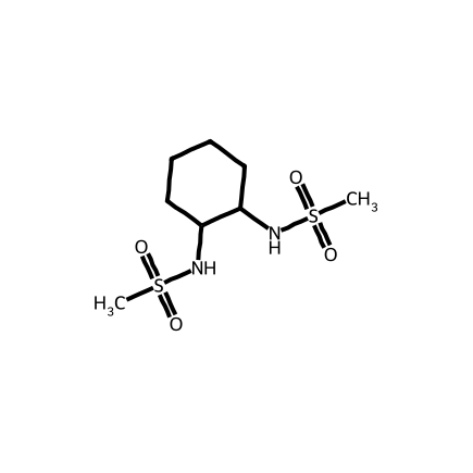 CS(=O)(=O)NC1CCCCC1NS(C)(=O)=O